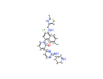 Cc1nc(CNc2c(F)ccc3c(Oc4ncccc4-c4ccnc(N[C@H]5CCCNC5)n4)c(C)ccc23)cs1